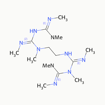 C/N=C(/N/C(=N/C)NC)N(C)CCN/C(=N\C)N(C)/C(=N/C)NC